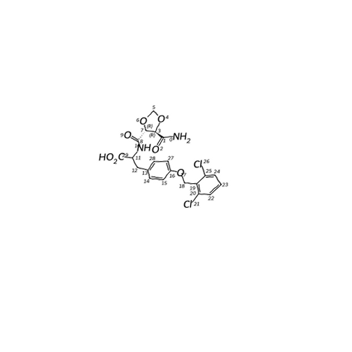 NC(=O)[C@@H]1OCO[C@H]1C(=O)NC(Cc1ccc(OCc2c(Cl)cccc2Cl)cc1)C(=O)O